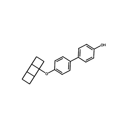 Oc1ccc(-c2ccc(OC34C5C6C7C5C3C7C64)cc2)cc1